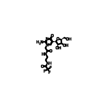 Nc1nc(=O)c([C@@H]2O[C@H](CO)C(O)[C@@H]2O)cn1CC(=O)NCCNC(=O)C(F)(F)F